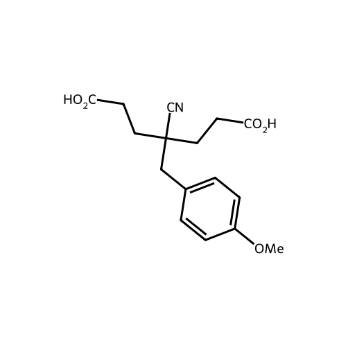 COc1ccc(CC(C#N)(CCC(=O)O)CCC(=O)O)cc1